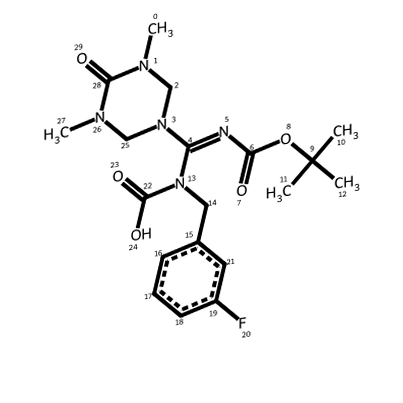 CN1CN(C(=NC(=O)OC(C)(C)C)N(Cc2cccc(F)c2)C(=O)O)CN(C)C1=O